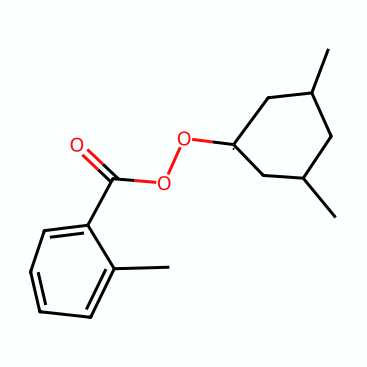 Cc1ccccc1C(=O)OO[C]1CC(C)CC(C)C1